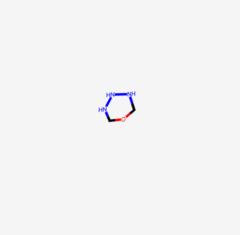 C1NNNCO1